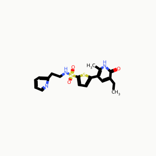 CCc1cc(-c2ccc(S(=O)(=O)NCCc3ccccn3)s2)c(C)[nH]c1=O